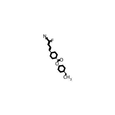 CC[C@H]1CC[C@H](OC(=O)[C@H]2CC[C@H](C=CC=C(F)C#N)CC2)CC1